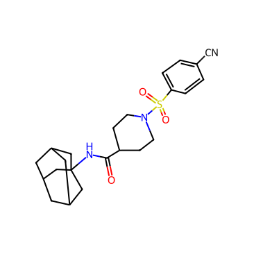 N#Cc1ccc(S(=O)(=O)N2CCC(C(=O)NC34CC5CC(CC(C5)C3)C4)CC2)cc1